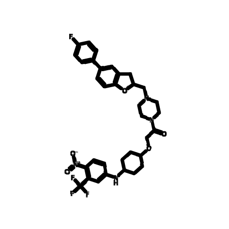 O=C(COC1CCC(Nc2ccc([N+](=O)[O-])c(C(F)(F)F)c2)CC1)N1CCN(CC2Cc3cc(-c4ccc(F)cc4)ccc3O2)CC1